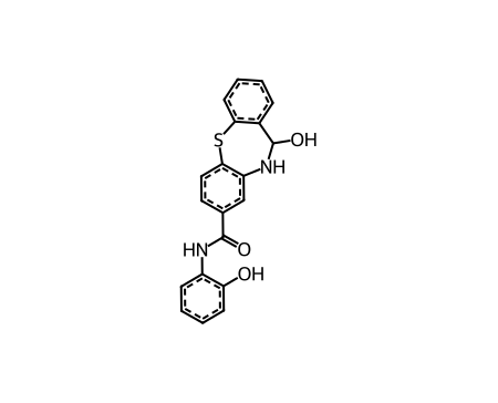 O=C(Nc1ccccc1O)c1ccc2c(c1)NC(O)c1ccccc1S2